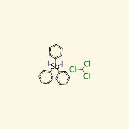 ClC(Cl)Cl.[I][Sb]([I])([c]1ccccc1)([c]1ccccc1)[c]1ccccc1